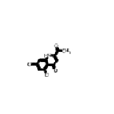 CC(=O)c1cc(=O)c2c(Cl)cc(Cl)cc2[nH]1